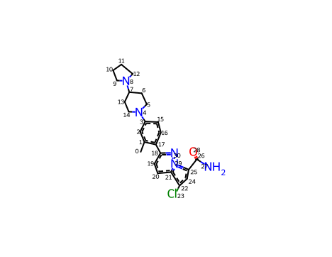 Cc1cc(N2CCC(N3CCCC3)CC2)ccc1-c1ccc2c(Cl)cc(C(N)=O)n2n1